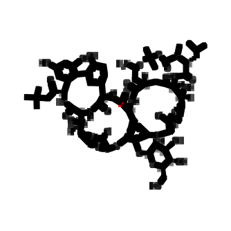 CC(C)C[C@H](C(=O)N[C@H]1C(=O)C[C@@H](CC(N)=O)C(=O)N[C@H]2C(=O)C[C@H]3C(=O)N[C@H](C(=O)N[C@H](C(=O)CC(C)(C)C)c4cc(O)cc(O)c4-c4cc3ccc4O)[C@H](O)c3ccc(c(Cl)c3)Oc3cc2cc(c3O[C@@H]2O[C@H](CO)[C@@H](O)[C@H](O)[C@H]2O)Oc2ccc(cc2Cl)[C@H]1O)N(C)C(=O)OC(C)(C)C